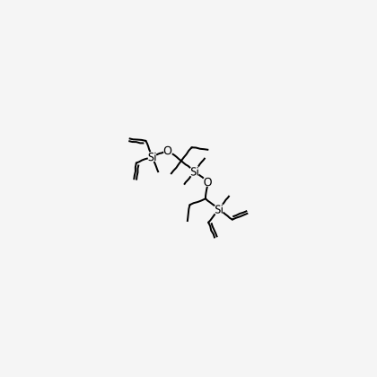 C=C[Si](C)(C=C)OC(C)(CC)[Si](C)(C)OC(CC)[Si](C)(C=C)C=C